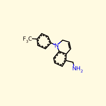 NCc1cccc2c1C=CCN2c1ccc(C(F)(F)F)cc1